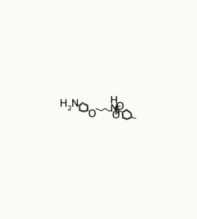 Cc1ccc(S(=O)(=O)NCCCCOc2ccc(N)cc2)cc1